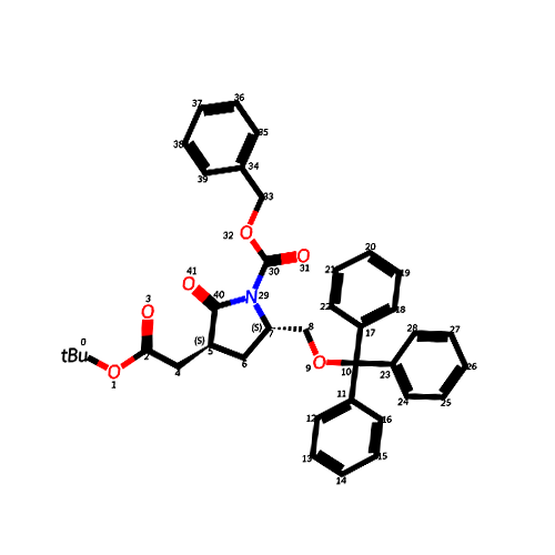 CC(C)(C)OC(=O)C[C@@H]1C[C@@H](COC(c2ccccc2)(c2ccccc2)c2ccccc2)N(C(=O)OCc2ccccc2)C1=O